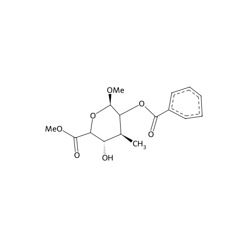 COC(=O)C1O[C@@H](OC)C(OC(=O)c2ccccc2)[C@@H](C)[C@@H]1O